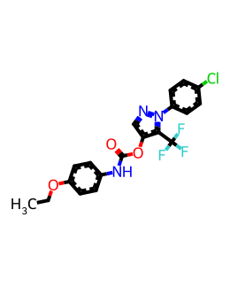 CCOc1ccc(NC(=O)Oc2cnn(-c3ccc(Cl)cc3)c2C(F)(F)F)cc1